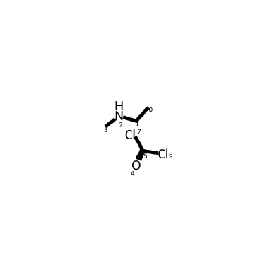 CCNC.O=C(Cl)Cl